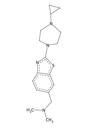 CN(C)Cc1ccc2nc(N3CCN(C4CC4)CC3)sc2c1